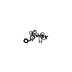 COC(=O)C1(NCCNC(=O)OC(C)(C)C)CCN(Cc2ccccc2)CC1